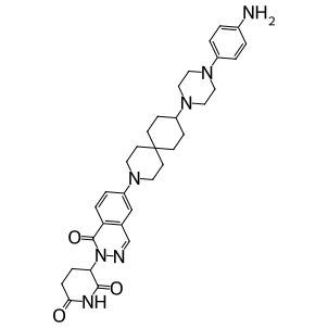 Nc1ccc(N2CCN(C3CCC4(CC3)CCN(c3ccc5c(=O)n(C6CCC(=O)NC6=O)ncc5c3)CC4)CC2)cc1